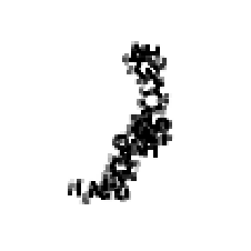 CC1(N)CCN(CC2CCC(n3ccc(NC(=O)N4CCN(C(=O)C(C)(C)N)CC4)nc3=O)CC2)CC1.Cl